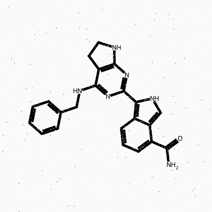 NC(=O)c1cccc2c(-c3nc4c(c(NCc5ccccc5)n3)CCN4)[nH]cc12